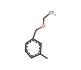 Cc1cccc(COCC(F)(F)F)c1